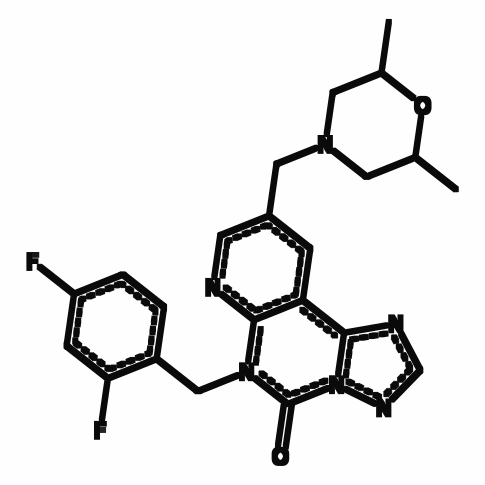 CC1CN(Cc2cnc3c(c2)c2ncnn2c(=O)n3Cc2ccc(F)cc2F)CC(C)O1